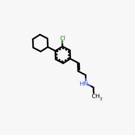 CCNC/C=C/c1ccc(C2CCCCC2)c(Cl)c1